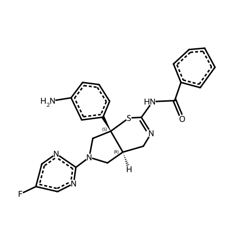 Nc1cccc([C@]23CN(c4ncc(F)cn4)C[C@@H]2CN=C(NC(=O)c2ccccc2)S3)c1